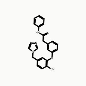 N#Cc1ccc(Cn2ccnc2)cc1Oc1cccc(CC(=O)Nc2ccccc2)c1